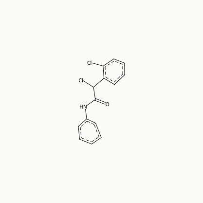 O=C(Nc1ccccc1)C(Cl)c1ccccc1Cl